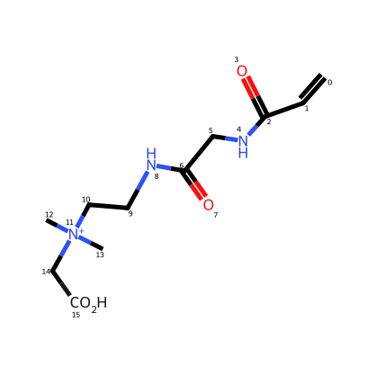 C=CC(=O)NCC(=O)NCC[N+](C)(C)CC(=O)O